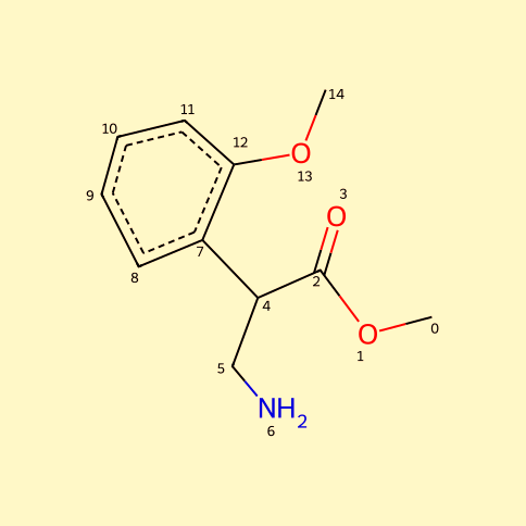 COC(=O)C(CN)c1ccccc1OC